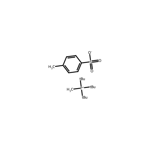 CC(C)(C)[P+](C)(C(C)(C)C)C(C)(C)C.Cc1ccc(S(=O)(=O)[O-])cc1